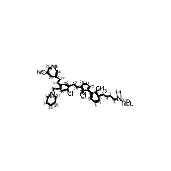 CCCCNCCCCc1cccc(-c2cccc(CCc3cc(CCc4cncc(C#N)c4)c(CN4CCCCC4)cc3Cl)c2Cl)c1C